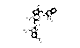 Cc1nc2ccccc2cc1OCc1c(Cl)ccc(N(C)C(=O)CNC(=O)OC(C)c2ccc(C(F)(F)F)cc2)c1Cl